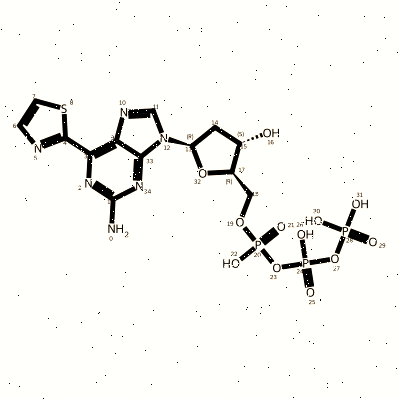 Nc1nc(-c2nccs2)c2ncn([C@H]3C[C@H](O)[C@@H](COP(=O)(O)OP(=O)(O)OP(=O)(O)O)O3)c2n1